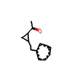 CC(=O)C1CC1Cc1ccccc1